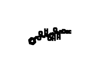 CCCCCCCCCCNC(=O)NCC(=O)NCC(=O)OCc1ccccc1